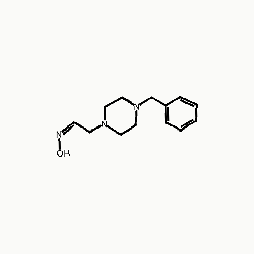 O/N=C\CN1CCN(Cc2ccccc2)CC1